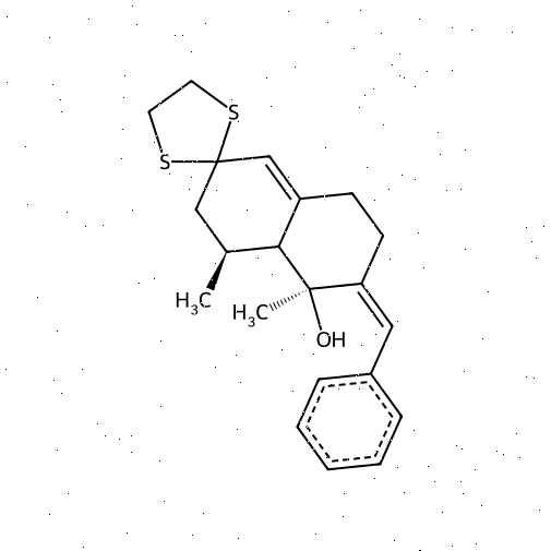 C[C@H]1CC2(C=C3CC/C(=C/c4ccccc4)[C@@](C)(O)C31)SCCS2